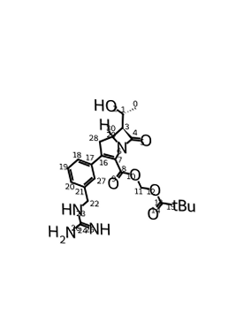 C[C@@H](O)[C@H]1C(=O)N2C(C(=O)OCOC(=O)C(C)(C)C)=C(c3cccc(CNC(=N)N)c3)C[C@H]12